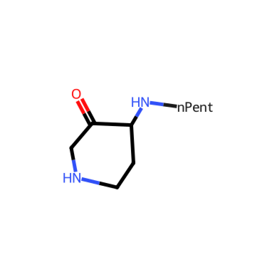 CCCCCNC1CCNCC1=O